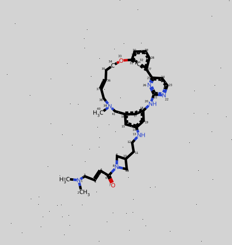 CN(C)C/C=C/C(=O)N1CC(CCNc2cc3cc(c2)Nc2nccc(n2)-c2cccc(c2)OCC/C=C/CN(C)C3)C1